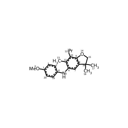 COc1ccc(Nc2cc3c(c(C(C)C)c2C)OCC3(C)C)cc1